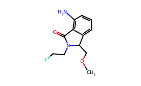 COCC1c2cccc(N)c2C(=O)N1CCF